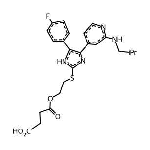 CC(C)CNc1cc(-c2nc(SCCOC(=O)CCC(=O)O)[nH]c2-c2ccc(F)cc2)ccn1